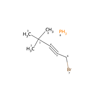 CC(C)(C)C#CCBr.P